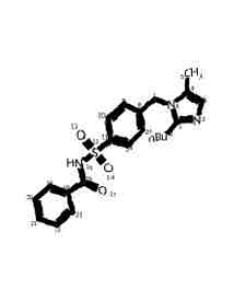 CCCCc1ncc(C)n1Cc1ccc(S(=O)(=O)NC(=O)c2ccccc2)cc1